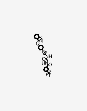 O=C(CNC(=O)c1cccc(C(F)(F)F)c1)NC1CN([C@H]2CC[C@@H](Oc3nsc4ccccc34)CC2)C1